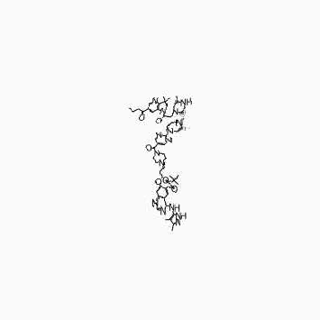 CCCC(=O)c1cnc2c(c1)N(C(=O)CN1C[C@@H](C)NC[C@@H]1CN1CCN(c3ncc(C(=O)N4CCN(CCCOc5cc6ncnc(Nc7[nH]nc(C)c7C)c6cc5S(=O)(=O)C(C)(C)C)CC4)cn3)C[C@H]1C)CC2(C)C